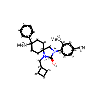 CNC1(c2ccccc2)CCC2(CC1)CN(c1ccc(C#N)cc1OC)C(=O)N2CC1CCC1